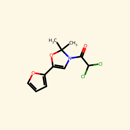 CC1(C)OC(c2ccco2)=CN1C(=O)C(Cl)Cl